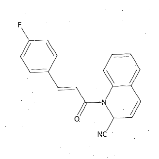 N#CC1C=Cc2ccccc2N1C(=O)C=Cc1ccc(F)cc1